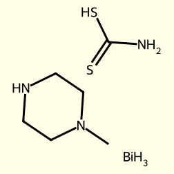 CN1CCNCC1.NC(=S)S.[BiH3]